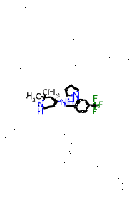 CC1(C)CC(NCc2ccc(C(F)(F)F)cc2N2CCCC2)CCN1